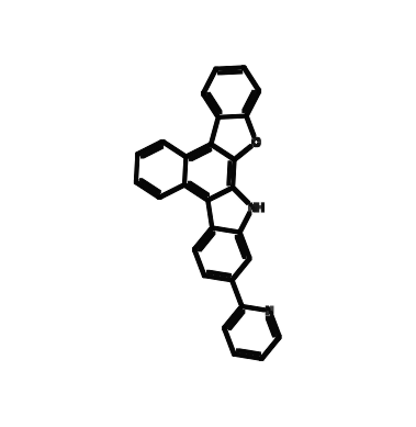 c1ccc(-c2ccc3c(c2)[nH]c2c4oc5ccccc5c4c4ccccc4c32)nc1